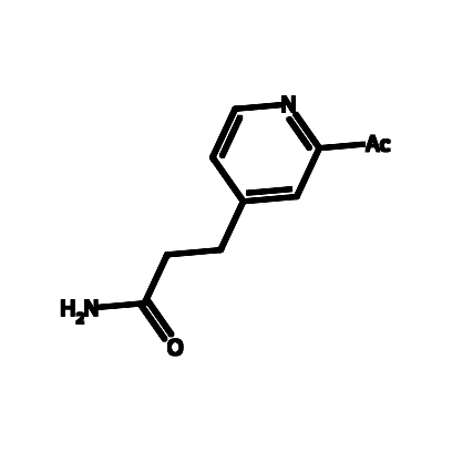 CC(=O)c1cc(CCC(N)=O)ccn1